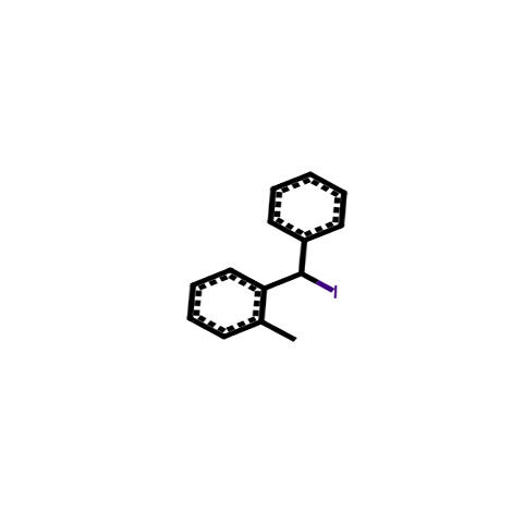 Cc1ccccc1C(I)c1ccccc1